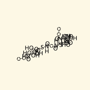 CC(=O)NC1C(O)CC(OCCCSCCNC(=O)c2ccc(C(=O)NCCSCCCOC3(C(=O)O)CC(O)CC(C(O)C(O)CNC(=O)c4ccc(-c5ccccc5)cc4)O3)cc2)(C(=O)O)O[C@H]1C(O)C(O)CNC(=O)c1ccc(-c2ccccc2)cc1